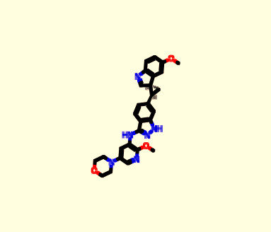 COc1ccc2c(c1)[C@@]1(C=N2)C[C@H]1c1ccc2c(Nc3cc(N4CCOCC4)cnc3OC)n[nH]c2c1